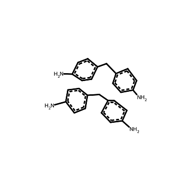 Nc1ccc(Cc2ccc(N)cc2)cc1.Nc1ccc(Cc2ccc(N)cc2)cc1